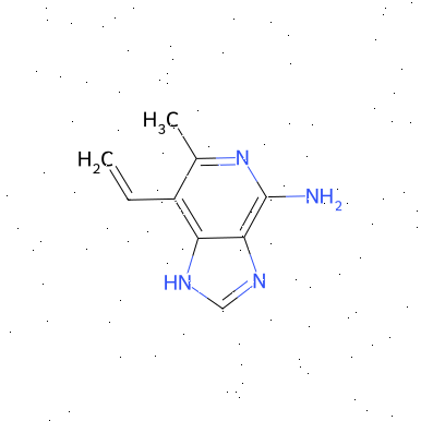 C=Cc1c(C)nc(N)c2nc[nH]c12